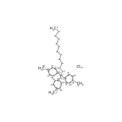 CCCCCCCCCCCC[P+](c1ccc(C)cc1)(c1ccc(C)cc1)c1ccc(C)cc1.[Cl-]